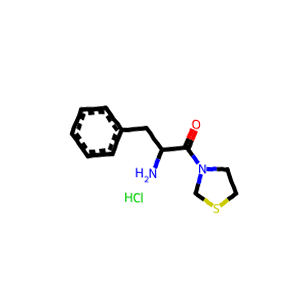 Cl.NC(Cc1ccccc1)C(=O)N1CCSC1